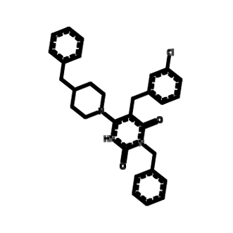 O=c1[nH]c(N2CCC(Cc3ccccc3)CC2)c(Cc2cccc(Cl)c2)c(=O)n1Cc1ccccc1